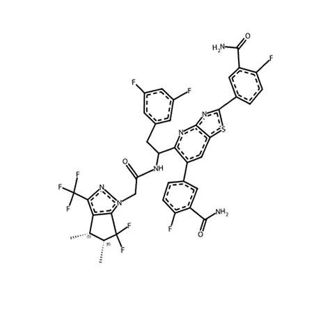 C[C@@H]1c2c(C(F)(F)F)nn(CC(=O)NC(Cc3cc(F)cc(F)c3)c3nc4nc(-c5ccc(F)c(C(N)=O)c5)sc4cc3-c3ccc(F)c(C(N)=O)c3)c2C(F)(F)[C@@H]1C